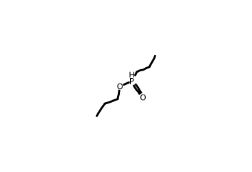 CCCO[PH](=O)CCC